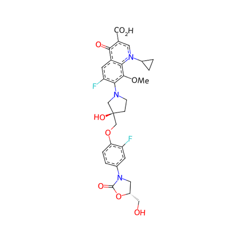 COc1c(N2CC[C@](O)(COc3ccc(N4C[C@H](CO)OC4=O)cc3F)C2)c(F)cc2c(=O)c(C(=O)O)cn(C3CC3)c12